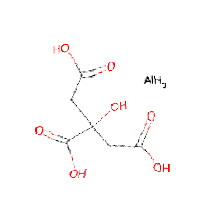 O=C(O)CC(O)(CC(=O)O)C(=O)O.[AlH3]